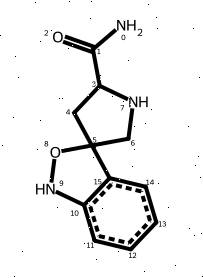 NC(=O)C1CC2(CN1)ONc1ccccc12